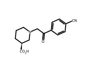 N#Cc1ccc(C(=O)CN2CCC[C@H](C(=O)O)C2)cc1